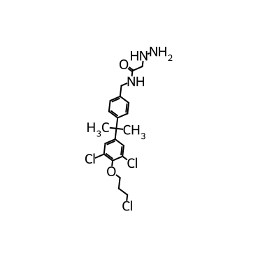 CC(C)(c1ccc(CNC(=O)CNN)cc1)c1cc(Cl)c(OCCCCl)c(Cl)c1